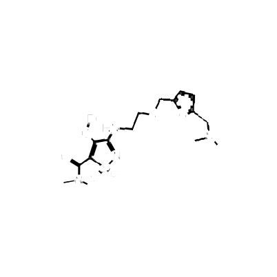 CCOC1=C(C(=O)N(C)C)S(=O)(=O)N=C1NCCSCc1ccc(CN(C)C)o1